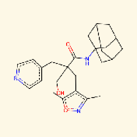 Cc1noc(C)c1CC(CO)(Cc1ccncc1)C(=O)NC12CC3CC(CC(C3)C1)C2